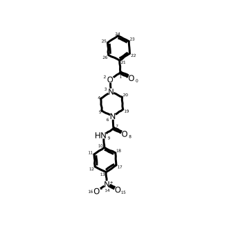 O=C(ON1CCN(C(=O)Nc2ccc([N+](=O)[O-])cc2)CC1)c1ccccc1